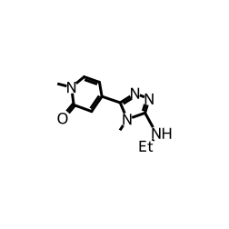 CCNc1nnc(-c2ccn(C)c(=O)c2)n1C